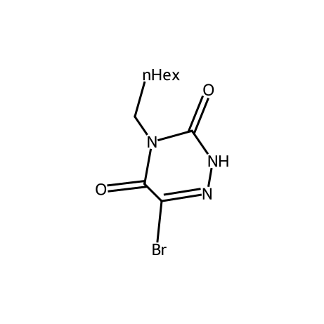 CCCCCCCn1c(=O)[nH]nc(Br)c1=O